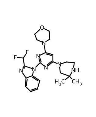 CC1(C)CN(c2cc(N3CCOCC3)nc(-n3c(C(F)F)nc4ccccc43)n2)CCN1